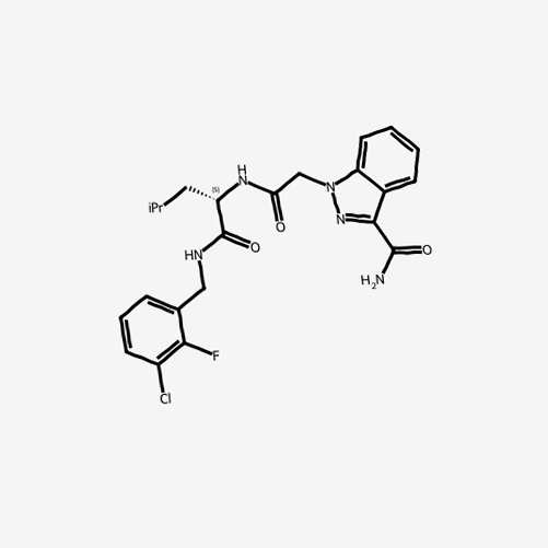 CC(C)C[C@H](NC(=O)Cn1nc(C(N)=O)c2ccccc21)C(=O)NCc1cccc(Cl)c1F